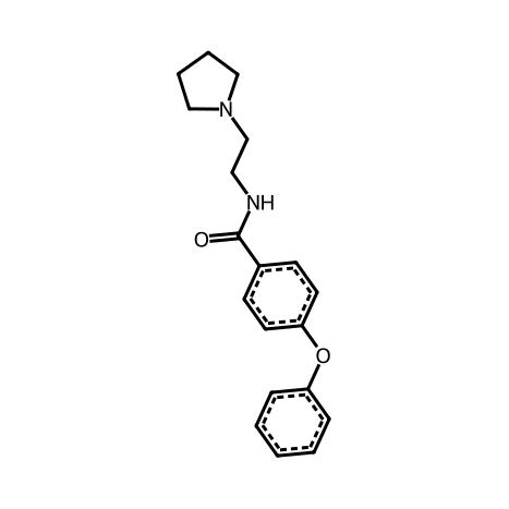 O=C(NCCN1CCCC1)c1ccc(Oc2ccccc2)cc1